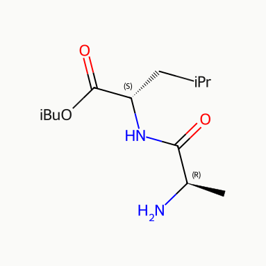 CC(C)COC(=O)[C@H](CC(C)C)NC(=O)[C@@H](C)N